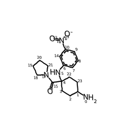 NC1CCC(Nc2cccc([N+](=O)[O-])c2)(C(=O)N2CCCC2)CC1